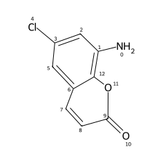 Nc1cc(Cl)cc2ccc(=O)oc12